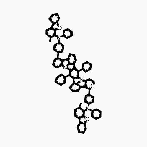 Cc1ccc2c(oc3ccccc32)c1N(c1ccccc1)c1ccc(-c2cccc3c2c2cccc4c5c(-c6ccccc6)c6c(c(-c7ccccc7)c5n3c24)c2cccc3c4c(-c5ccc(N(c7ccccc7)c7c(C)ccc8c7oc7ccccc78)cc5)cccc4n6c32)cc1